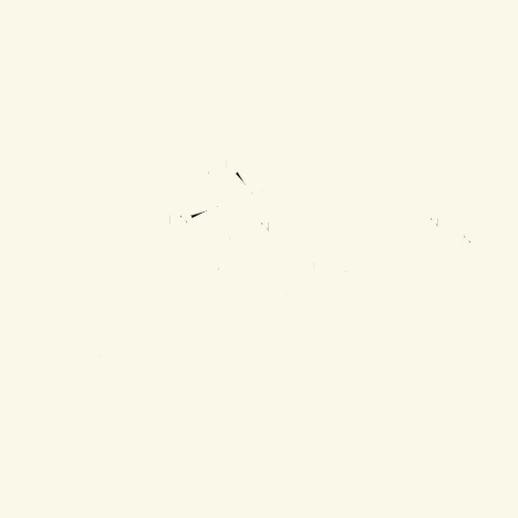 CO[C@@]1(NC(=O)C[S+]([O-])c2cccs2)C(=O)N2C(C(=O)O)=C(CSc3nnco3)CS[C@H]21